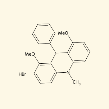 Br.COc1cccc2c1C(c1ccccc1)c1c(OC)cccc1N2C